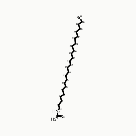 S=C(S)NCCCCCCCCCCCCCCCCCCCCCCCCCBr